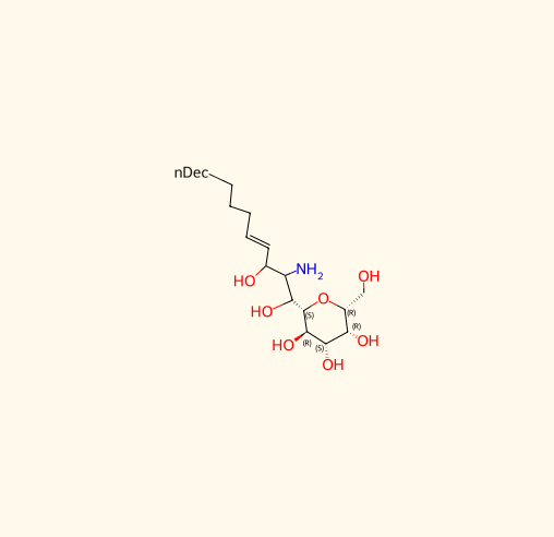 CCCCCCCCCCCCCC=CC(O)C(N)C(O)[C@@H]1O[C@H](CO)[C@H](O)[C@H](O)[C@H]1O